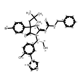 CC(C)(C)CC1(c2ccc(Br)cc2)NC(=NC(=O)OCc2ccccc2)N([C@H](CO)c2ccc(Cl)c(-n3cncn3)c2)C1=O